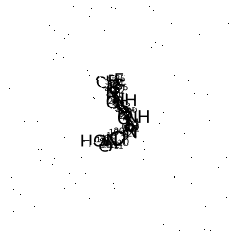 C[C@@H](NC(=O)c1cc(C2CCCCN(C(=O)CO)CCC2)ncn1)c1ncc(C(=O)Nc2cc(C(F)(F)F)c(Cl)cn2)s1